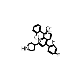 [O-][n+]1ccc2c(-c3ccc(F)cc3F)cc(C3CCNCC3)nc2c1-c1ccccc1Cl